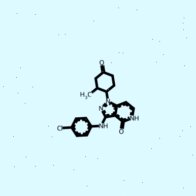 CC1CC(=O)CCC1n1nc(Nc2ccc(Cl)cc2)c2c(=O)[nH]ccc21